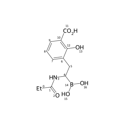 CCC(=O)NC(Cc1cccc(C(=O)O)c1O)B(O)O